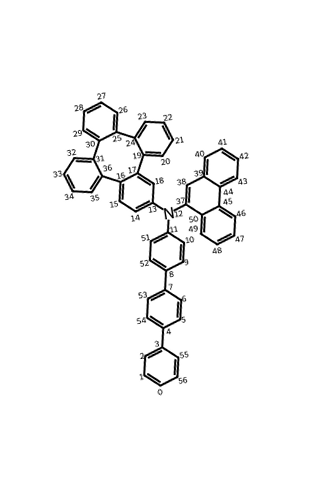 c1ccc(-c2ccc(-c3ccc(N(c4ccc5c(c4)-c4ccccc4-c4ccccc4-c4ccccc4-5)c4cc5ccccc5c5ccccc45)cc3)cc2)cc1